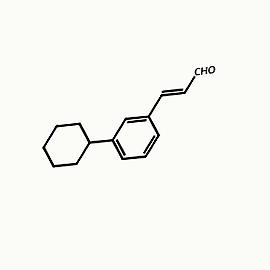 O=CC=Cc1cccc(C2CCCCC2)c1